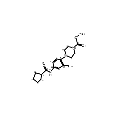 CC(C)(C)OC(=O)N1CCN(c2ccc(NC(=O)C3CCCC3)cc2F)CC1